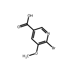 COc1cc(C(=O)O)cnc1Br